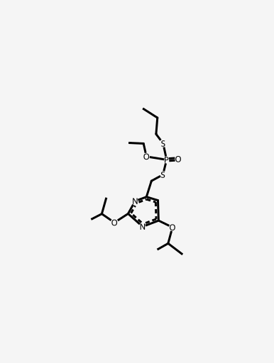 CCCSP(=O)(OCC)SCc1cc(OC(C)C)nc(OC(C)C)n1